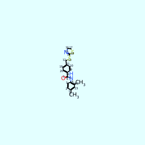 Cc1ccc(NC(=O)c2ccc(CSC3=NCCS3)cc2)c(C)c1